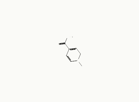 COC(=O)C1=CCN(C)C=C1